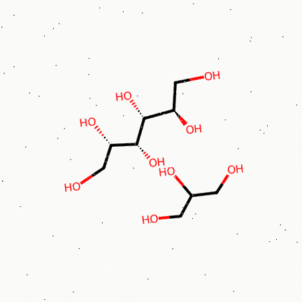 OCC(O)CO.OC[C@@H](O)[C@@H](O)[C@H](O)[C@@H](O)CO